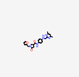 Cc1cc(C)nc(CNc2ccc(NC(=O)C3CC(=O)N(Cc4ccco4)C3)cc2)n1